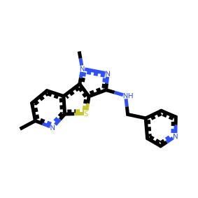 Cc1ccc2c(n1)sc1c(NCc3ccncc3)nn(C)c12